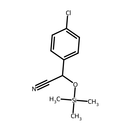 C[Si](C)(C)OC(C#N)c1ccc(Cl)cc1